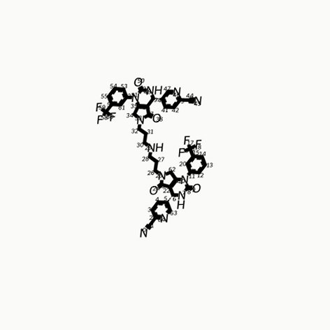 N#Cc1ccc([C@H]2NC(=O)N(c3cccc(C(F)(F)F)c3)C3=C2C(=O)N(CCCNCCCN2CC4=C(C2=O)[C@@H](c2ccc(C#N)nc2)NC(=O)N4c2cccc(C(F)(F)F)c2)C3)cn1